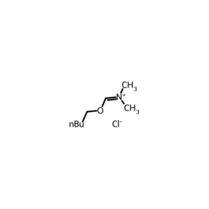 CCCCCOC=[N+](C)C.[Cl-]